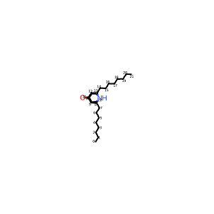 CCCCCCCCc1cc(=O)cc(CCCCCCCC)[nH]1